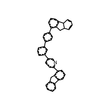 C1=CC2Cc3c(-c4ccc(-c5cccc(-c6ccc(-c7cccc8c7Cc7ccccc7-8)nc6)c5)cc4)cccc3C2C=C1